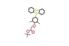 Cc1cc([SH](c2ccccc2)c2ccccc2)cc(C)c1OCC(=O)OC(C)(C)C